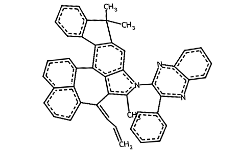 C=C/C=C1/c2cccc3cccc(c23)-c2c3c(cc4c2c1c(C)n4-c1nc2ccccc2nc1-c1ccccc1)C(C)(C)c1ccccc1-3